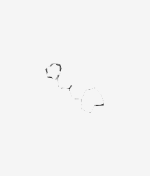 O=C(Nc1ccccc1)OC1CC/C=C/CCC1